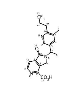 Cc1cc(C(C)N2Cc3c(ccnc3C(=O)O)C2=O)cnc1CCC(F)(F)F